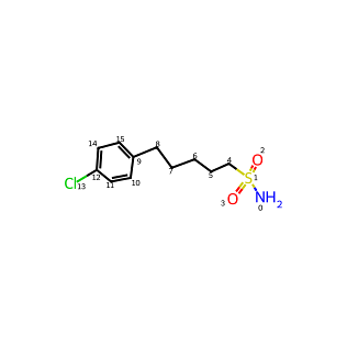 NS(=O)(=O)CCCCCc1ccc(Cl)cc1